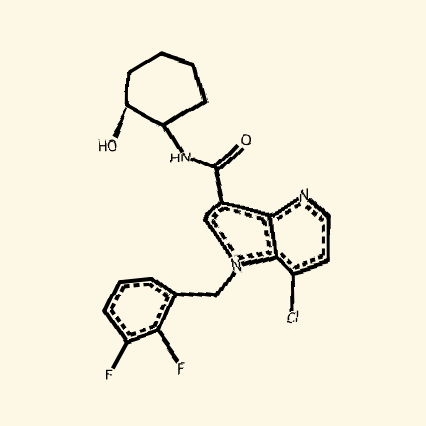 O=C(NC1CCCC[C@@H]1O)c1cn(Cc2cccc(F)c2F)c2c(Cl)ccnc12